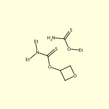 CCN(CC)C(=S)OC1COC1.CCOC(N)=S